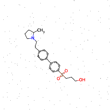 CC1CCCN1CCc1ccc(-c2ccc(S(=O)(=O)CCCO)cc2)cc1